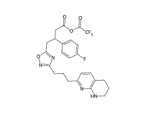 O=C(CC(Cc1nc(CCCc2ccc3c(n2)NCCC3)no1)c1ccc(F)cc1)OC(=O)C(F)(F)F